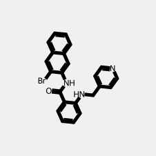 O=C(Nc1cc2ccccc2cc1Br)c1ccccc1NCc1ccncc1